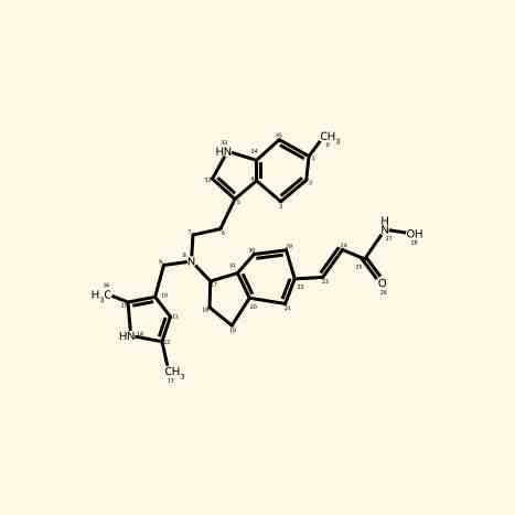 Cc1ccc2c(CCN(Cc3cc(C)[nH]c3C)C3CCc4cc(C=CC(=O)NO)ccc43)c[nH]c2c1